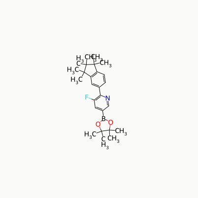 CC1(C)OB(c2cnc(-c3ccc4c(c3)C(C)(C)C(C)(C)C4(C)C)c(F)c2)OC1(C)C